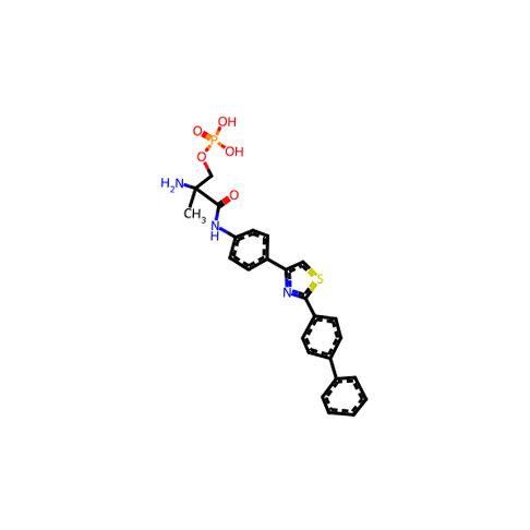 CC(N)(COP(=O)(O)O)C(=O)Nc1ccc(-c2csc(-c3ccc(-c4ccccc4)cc3)n2)cc1